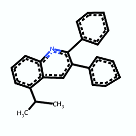 CC(C)c1cccc2nc(-c3ccccc3)c(-c3ccccc3)cc12